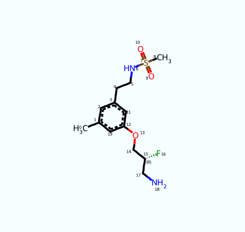 Cc1cc(CCNS(C)(=O)=O)cc(OC[C@H](F)CN)c1